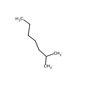 [CH2]C([CH2])CCCCC